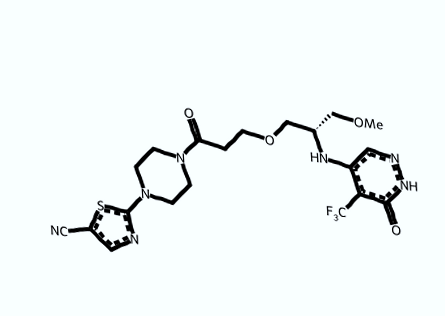 COC[C@@H](COCCC(=O)N1CCN(c2ncc(C#N)s2)CC1)Nc1cn[nH]c(=O)c1C(F)(F)F